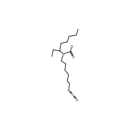 CCCCCC(CC)N(CCCCCCN=C=O)C(=O)Cl